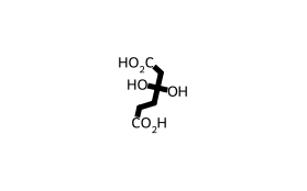 O=C(O)CCC(O)(O)CC(=O)O